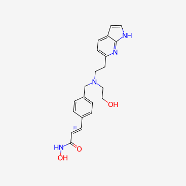 O=C(/C=C/c1ccc(CN(CCO)CCc2ccc3cc[nH]c3n2)cc1)NO